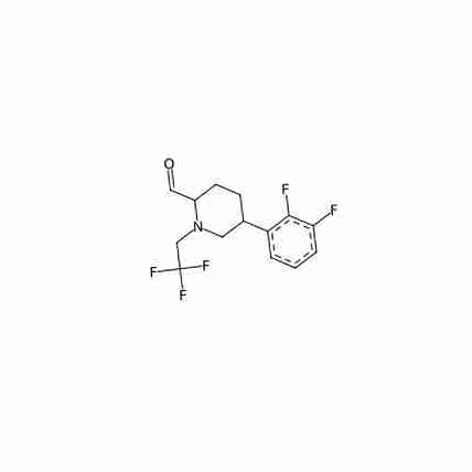 O=CC1CCC(c2cccc(F)c2F)CN1CC(F)(F)F